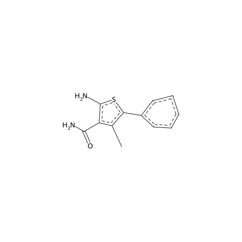 Cc1c(-c2ccccc2)sc(N)c1C(N)=O